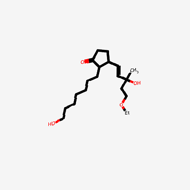 CCOCCC(C)(O)C=CC1CCC(=O)C1CCCCCCCO